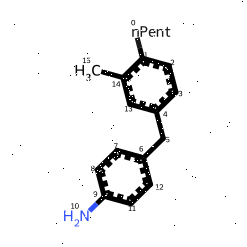 CCCCCc1ccc(Cc2ccc(N)cc2)cc1C